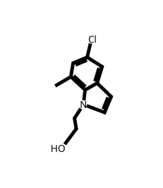 Cc1cc(Cl)cc2ccn(CCO)c12